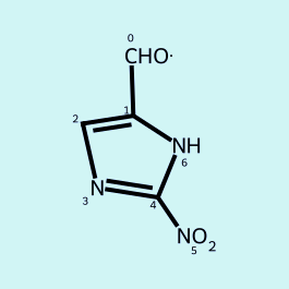 O=[C]c1cnc([N+](=O)[O-])[nH]1